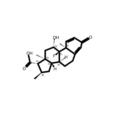 C[C@@H]1C[C@H]2[C@@H]3CCC4=CC(=O)C=C[C@]4(C)[C@@]3(F)[C@@H](O)C[C@]2(C)[C@H]1C(=O)O